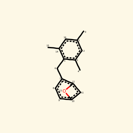 Cc1cc(C)c(Cc2ccc3cc2O3)c(C)c1